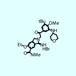 Br.CCOc1cc2c(cc1C(=O)NC)C(=N)N(CC(=O)c1cc(NC3CCOCC3)c(OC)c(C(C)(C)C)c1)C2